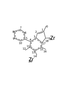 CC1=Cc2c(-c3ccccc3)c(C)c(C)c(C)c2[CH]1[Zr].[Zr]